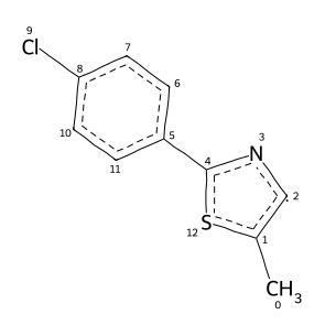 Cc1[c]nc(-c2ccc(Cl)cc2)s1